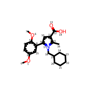 COc1ccc(OC)c(-c2cc(C(=O)O)c(C)n2CC2CCCCC2)c1